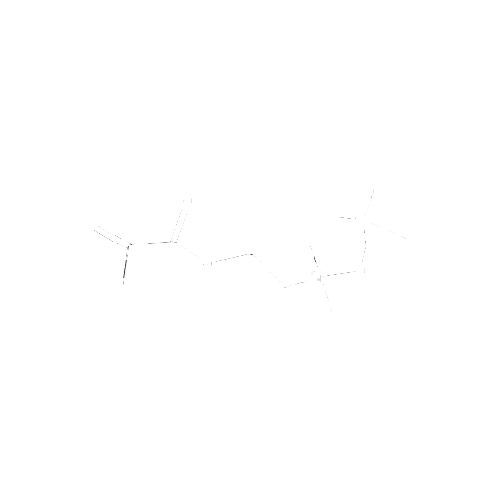 C=C(C)C(=O)OCC[Si](C)(C)O[Si](C)(C)C